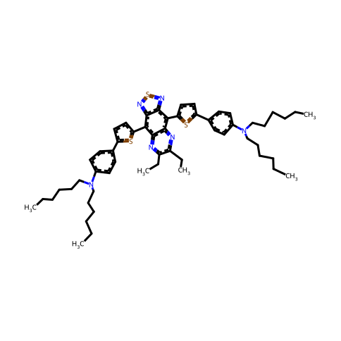 CCCCCCN(CCCCCC)c1ccc(-c2ccc(-c3c4nsnc4c(-c4ccc(-c5ccc(N(CCCCCC)CCCCCC)cc5)s4)c4nc(CC)c(CC)nc34)s2)cc1